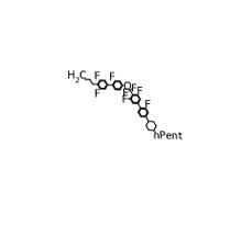 C=CCCc1c(F)cc(-c2ccc(OC(F)(F)c3c(F)cc(-c4ccc(C5CCC(CCCCC)CC5)cc4F)cc3F)cc2F)cc1F